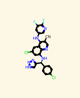 N#Cc1cnc2c(N[C@@H](c3ccc(Cl)cc3)c3c[nH]nn3)cc(Cl)cc2c1Nc1cnc(F)c(F)c1